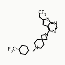 FC(F)(F)Cc1cc2c(N3CC4(CCN(C[C@H]5CC[C@H](C(F)(F)F)CC5)CC4)C3)ncnc2s1